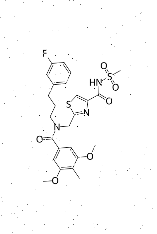 COc1cc(C(=O)N(CCCc2cccc(F)c2)Cc2nc(C(=O)NS(C)(=O)=O)cs2)cc(OC)c1C